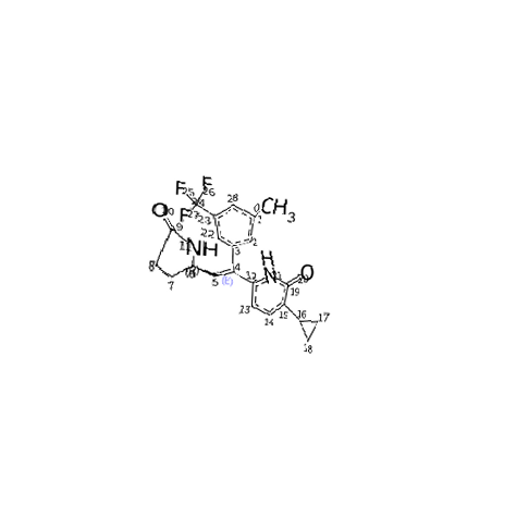 Cc1cc(/C(=C\[C@H]2CCC(=O)N2)c2ccc(C3CC3)c(=O)[nH]2)cc(C(F)(F)F)c1